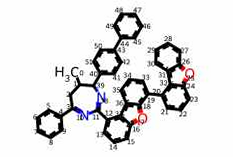 CC1CC(c2ccccc2)=NC(c2cccc3oc4c(-c5cccc6oc7ccccc7c56)cccc4c23)=NC1c1ccc(-c2ccccc2)cc1